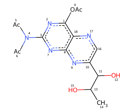 CC(=O)Oc1nc(N(C(C)=O)C(C)=O)nc2nc(C(O)C(C)O)cnc12